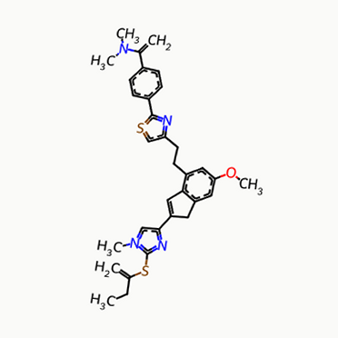 C=C(CC)Sc1nc(C2=Cc3c(CCc4csc(-c5ccc(C(=C)N(C)C)cc5)n4)cc(OC)cc3C2)cn1C